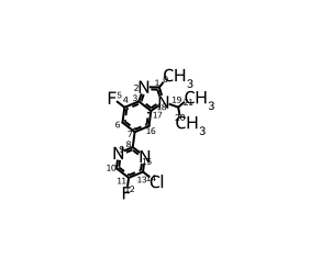 Cc1nc2c(F)cc(-c3ncc(F)c(Cl)n3)cc2n1C(C)C